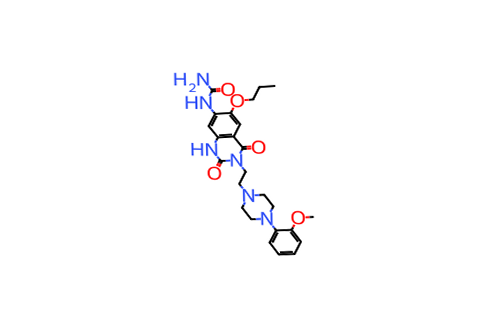 CCCOc1cc2c(=O)n(CCN3CCN(c4ccccc4OC)CC3)c(=O)[nH]c2cc1NC(N)=O